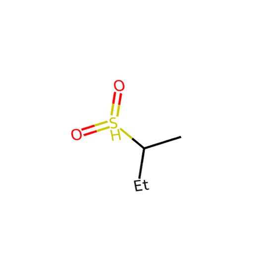 [CH2]CC(C)[SH](=O)=O